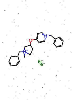 C[N+]1(Cc2ccccc2)CCC(Oc2cc[n+](Cc3ccccc3)cc2)C1.[Br-].[Br-]